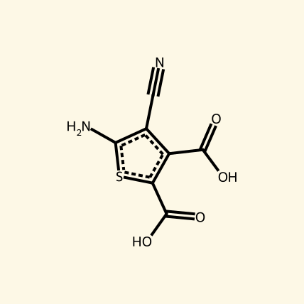 N#Cc1c(N)sc(C(=O)O)c1C(=O)O